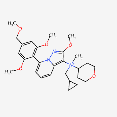 COCc1cc(OC)c(-c2cccc3c([N+](C)(CC4CC4)C4CCOCC4)c(OC)nn23)c(OC)c1